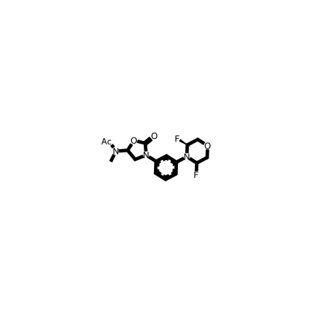 CC(=O)N(C)C1CN(c2cccc(N3C(F)COC[C@@H]3F)c2)C(=O)O1